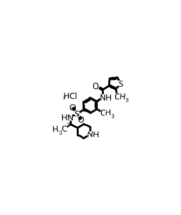 Cc1cc(S(=O)(=O)N[C@H](C)C2CCNCC2)ccc1NC(=O)c1ccsc1C.Cl